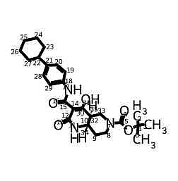 CC(C)(C)OC(=O)N1CC[C@@H]2NC(=O)C(C(=O)Nc3ccc(C4CCCCC4)cc3)=C(O)[C@H]2C1